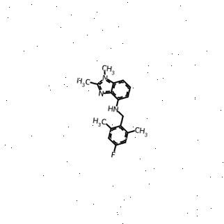 Cc1cc(F)cc(C)c1CNc1cccc2c1nc(C)n2C